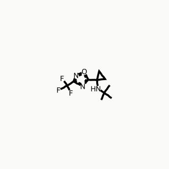 CC(C)(C)NC1(c2nc(C(F)(F)F)no2)CC1